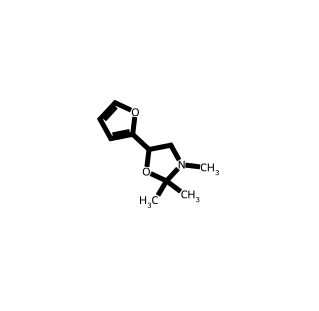 CN1CC(c2ccco2)OC1(C)C